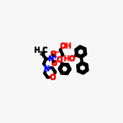 CCC(CN1CCOCC1)[N+](=O)[O-].OCCOc1ccccc1.Oc1ccccc1-c1ccccc1